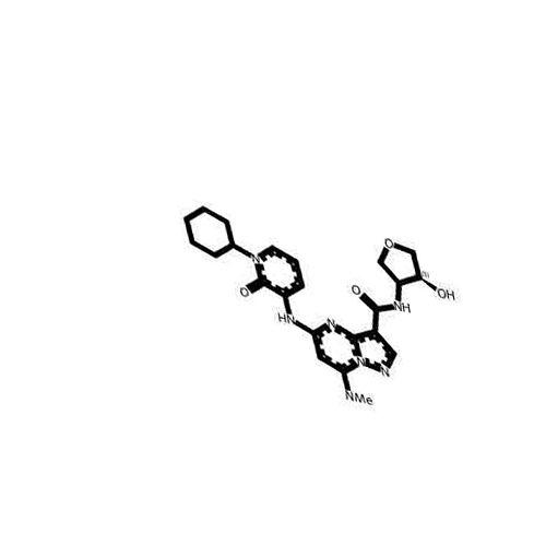 CNc1cc(Nc2cccn(C3CCCCC3)c2=O)nc2c(C(=O)NC3COC[C@H]3O)cnn12